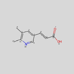 Cc1cc(/C=C/C(=O)O)cnc1C